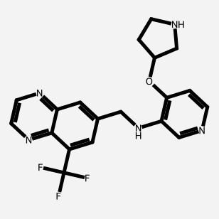 FC(F)(F)c1cc(CNc2cnccc2OC2CCNC2)cc2nccnc12